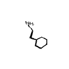 [NH]CC=CC1CCCCC1